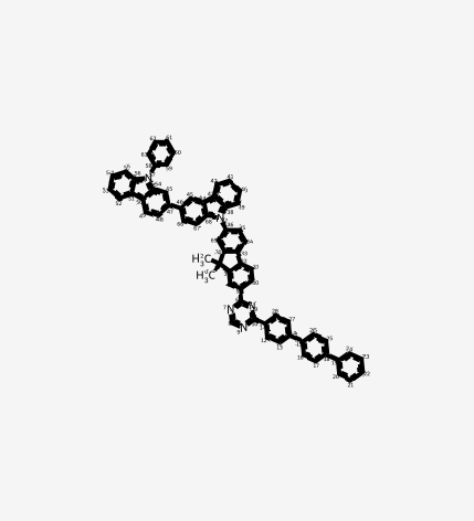 CC1(C)c2cc(-c3ncnc(-c4ccc(-c5ccc(-c6ccccc6)cc5)cc4)n3)ccc2-c2ccc(-n3c4ccccc4c4cc(-c5ccc6c7ccccc7n(-c7ccccc7)c6c5)ccc43)cc21